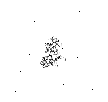 CNc1cc(Cl)cc2c1[nH]c1ncc(-c3cnc4c(c3)c(=O)c(C(=O)O)cn4C)c(N3CCC(N(C)C)C3)c12